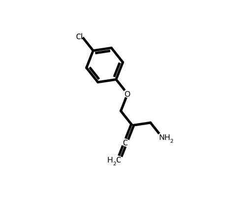 C=C=C(CN)COc1ccc(Cl)cc1